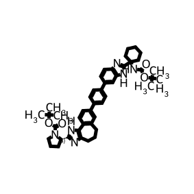 CC(C)(C)OC(=O)NC1(c2nc3ccc(-c4ccc(-c5ccc6c(c5)CCCc5nc([C@@H]7CCCN7C(=O)OC(C)(C)C)[nH]c5-6)cc4)cc3[nH]2)CCCCC1